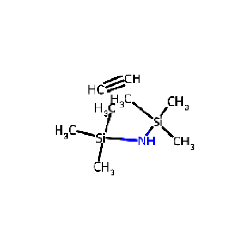 C#C.C[Si](C)(C)N[Si](C)(C)C